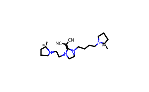 C[C@@H]1CCCN1CCCCN1CCN(CCN2CCC[C@H]2C)C1=C(C#N)C#N